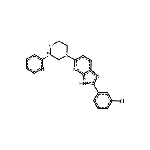 Clc1cccc(-c2nc3ccc(N4CCO[C@@H](c5ccccn5)C4)nc3[nH]2)c1